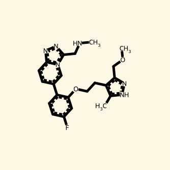 CNCc1nnc2ccc(-c3ccc(F)cc3OCCc3c(COC)n[nH]c3C)cn12